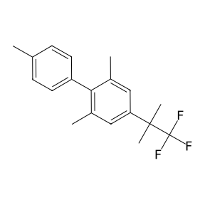 Cc1ccc(-c2c(C)cc(C(C)(C)C(F)(F)F)cc2C)cc1